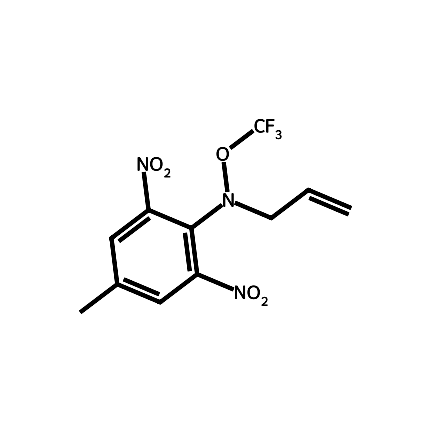 C=CCN(OC(F)(F)F)c1c([N+](=O)[O-])cc(C)cc1[N+](=O)[O-]